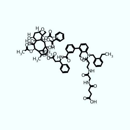 C=Cc1c(-c2cccc(C(=O)NC(CC(=O)O[C@H]3C[C@@]4(O)[C@@H](OC(=O)c5ccccc5)[C@@H]5[C@]6(OC(C)=O)CO[C@@H]6C[C@H](O)[C@@]5(C)C(=O)[C@H](OC(C)=O)C(C3C)C4(C)C)c3ccccc3)c2)cccc1N(Cc1ccccc1CC)C(=O)CCNC(=O)CNC(=O)CCC(=O)O